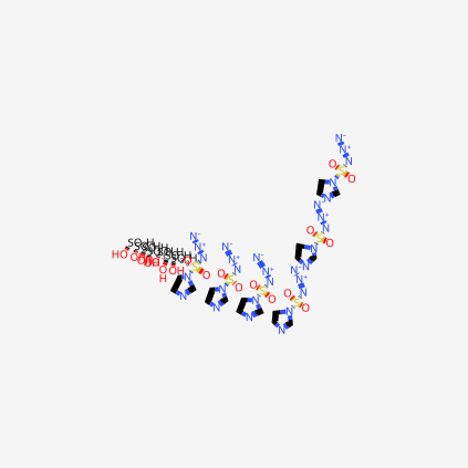 O=S(=O)(O)O.O=S(=O)(O)O.O=S(=O)(O)O.O=S(=O)(O)O.O=S(=O)(O)O.O=S(=O)(O)O.O=S(=O)(O)O.[N-]=[N+]=NS(=O)(=O)n1ccnc1.[N-]=[N+]=NS(=O)(=O)n1ccnc1.[N-]=[N+]=NS(=O)(=O)n1ccnc1.[N-]=[N+]=NS(=O)(=O)n1ccnc1.[N-]=[N+]=NS(=O)(=O)n1ccnc1.[N-]=[N+]=NS(=O)(=O)n1ccnc1